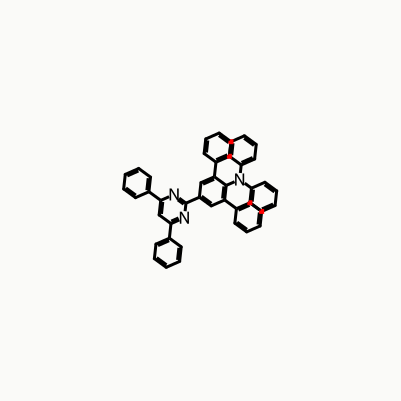 c1ccc(-c2cc(-c3ccccc3)nc(-c3cc(-c4ccccc4)c(N(c4ccccc4)c4ccccc4)c(-c4ccccc4)c3)n2)cc1